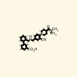 CN(C)C(=O)C1CCN(c2ccc(CNCc3ccccc3-c3cccc(C(=O)O)c3)cc2C#N)CC1